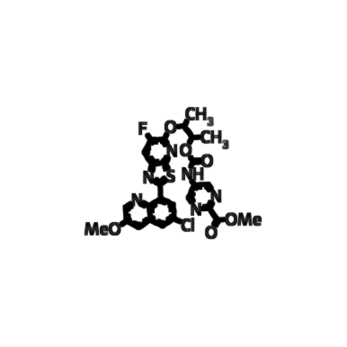 COC(=O)c1ncc(NC(=O)OC(C)C(C)Oc2nc3sc(-c4cc(Cl)cc5cc(OC)cnc45)nc3cc2F)cn1